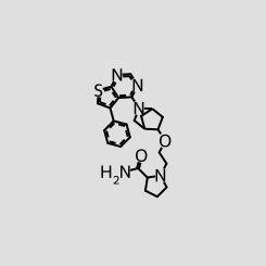 NC(=O)C1CCCN1CCOC1CC2CC1CN2c1ncnc2scc(-c3ccccc3)c12